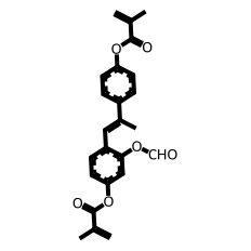 C=C(C)C(=O)Oc1ccc(/C(C)=C/c2ccc(OC(=O)C(=C)C)cc2OC=O)cc1